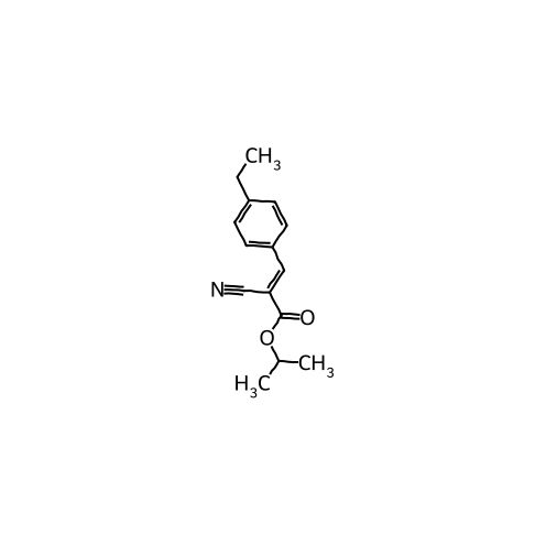 CCc1ccc(/C=C(\C#N)C(=O)OC(C)C)cc1